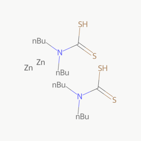 CCCCN(CCCC)C(=S)S.CCCCN(CCCC)C(=S)S.[Zn].[Zn]